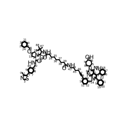 Cc1ncsc1-c1ccc(CNC(=O)[C@@H]2C[C@@H](OCc3ccccc3)CN2C(=O)[C@@H](NC(=O)CCCCCCCC(=O)NCCCCC#Cc2cccc(Cn3c(-c4ccccc4)c(-c4ccccc4)c4c(=N)n(C5CCC(O)CC5)cnc43)c2)C(C)(C)C)cc1